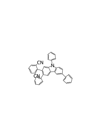 N#Cc1cccc(C#N)c1-c1cc2c(cc1-c1ccccc1)c1cc(-c3ccccc3)ccc1n2-c1ccccc1